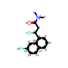 CN(C)C(=O)C[C](F)c1cccc2ccc(F)cc12